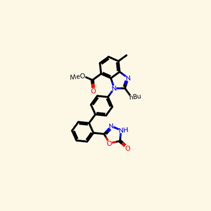 CCCCc1nc2c(C)ccc(C(=O)OC)c2n1-c1ccc(-c2ccccc2-c2n[nH]c(=O)o2)cc1